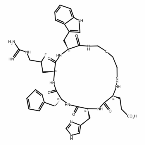 N=C(N)NCC(F)C[C@@H]1NC(=O)[C@@H](Cc2ccccc2)NC(=O)[C@H](Cc2c[nH]cn2)NC(=O)[C@H](CCC(=O)O)NNCCCCNC(=O)[C@H](Cc2c[nH]c3ccccc23)NC1=O